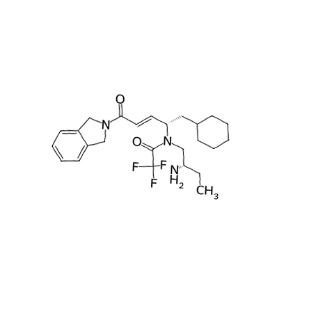 CC[C@H](N)CN(C(=O)C(F)(F)F)[C@H](/C=C/C(=O)N1Cc2ccccc2C1)CC1CCCCC1